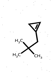 CC(C)(C)CC1=CC1